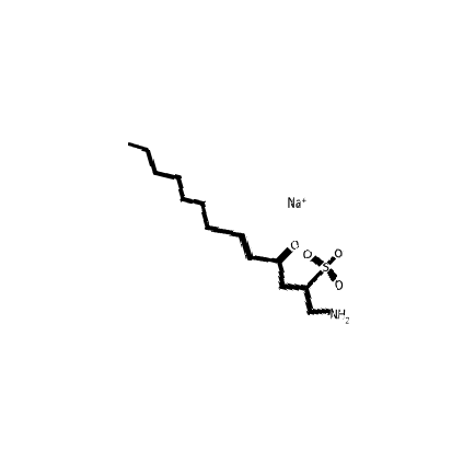 CCCCCCCCCC(=O)CC(CN)S(=O)(=O)[O-].[Na+]